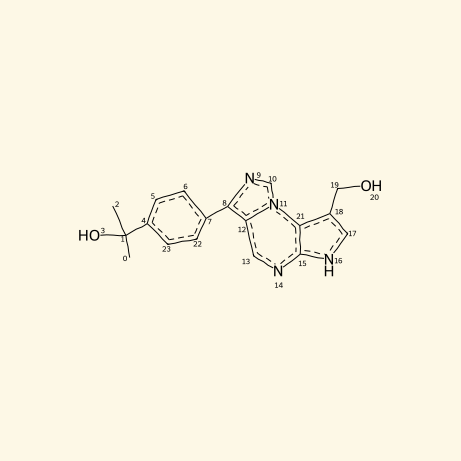 CC(C)(O)c1ccc(-c2ncn3c2cnc2[nH]cc(CO)c23)cc1